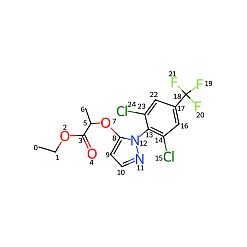 CCOC(=O)C(C)Oc1ccnn1-c1c(Cl)cc(C(F)(F)F)cc1Cl